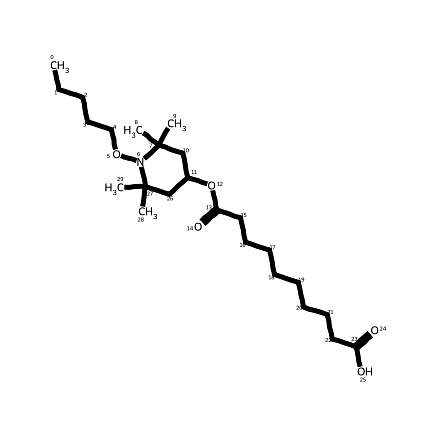 CCCCCON1C(C)(C)CC(OC(=O)CCCCCCCCC(=O)O)CC1(C)C